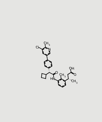 Cc1ncc(-c2ccc([C@H](C(=O)Nc3cccc([C@@H](C)CC(=O)O)c3C)C3CCC3)cc2)cc1Cl